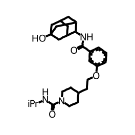 CC(C)NC(=O)N1CCC(CCOc2cccc(C(=O)NC3C4CC5CC3CC(O)(C5)C4)c2)CC1